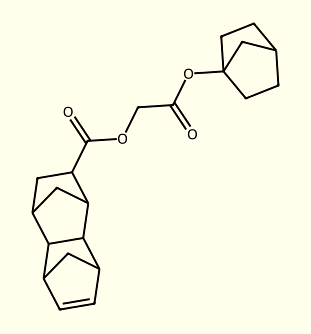 O=C(COC(=O)C1CC2CC1C1C3C=CC(C3)C21)OC12CCC(CC1)C2